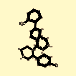 Cc1ccccc1-c1ccc2c(N3CCOCC3c3ccc(Cl)cc3)nncc2c1